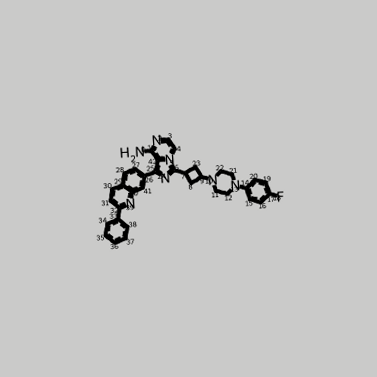 Nc1nccn2c(C3CC(N4CCN(c5ccc(F)cc5)CC4)C3)nc(-c3ccc4ccc(-c5ccccc5)nc4c3)c12